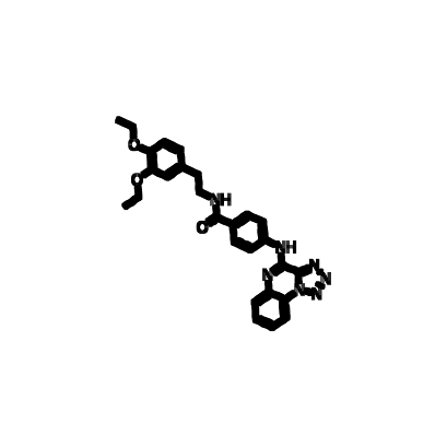 CCOc1ccc(CCNC(=O)c2ccc(Nc3nc4ccccc4n4nnnc34)cc2)cc1OCC